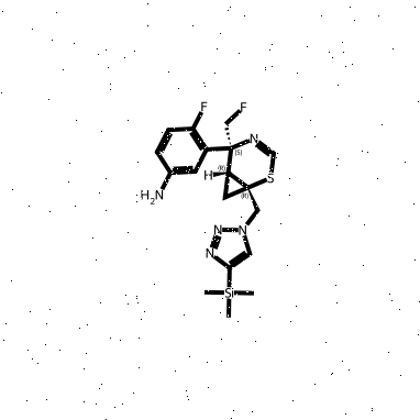 C[Si](C)(C)c1cn(C[C@@]23C[C@@H]2[C@@](CF)(c2cc(N)ccc2F)N=[C]S3)nn1